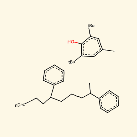 CCCCCCCCCCCCC(CCCC(C)c1ccccc1)c1ccccc1.Cc1cc(C(C)(C)C)c(O)c(C(C)(C)C)c1